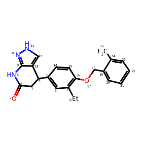 CCc1cc(C2CC(=O)Nc3n[nH]cc32)ccc1OCc1ccccc1C(F)(F)F